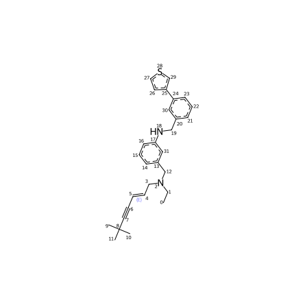 CCN(C/C=C/C#CC(C)(C)C)Cc1cccc(NCc2cccc(-c3ccsc3)c2)c1